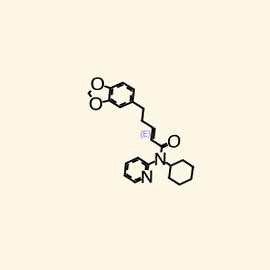 O=C(/C=C/CCc1ccc2c(c1)OCO2)N(c1ccccn1)C1CCCCC1